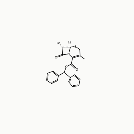 CC1=C(C(=O)OC(c2ccccc2)c2ccccc2)N2C(=O)[C@H](Br)[C@H]2SC1